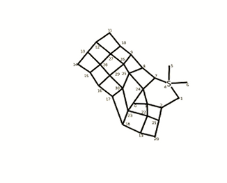 CC12C3CS(C)(C)C4C5C6C7CC8C9CC%10C%11C%12C%13C%14CC3C%141C%131C42C52C63C87C9%10C%113C%1212